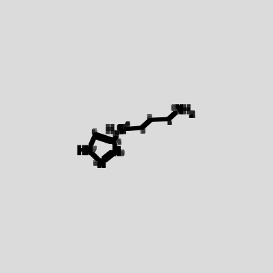 NCCC[SiH2]c1c[nH]nn1